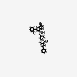 Cc1nn(-c2ccccc2)nc1C(=O)N1CCC(CNc2cc(-c3ccccc3Cl)nc3c(Br)cnn23)CC1